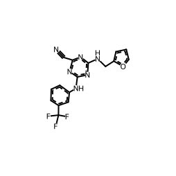 N#Cc1nc(NCc2ccco2)nc(Nc2cccc(C(F)(F)F)c2)n1